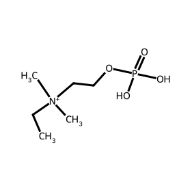 CC[N+](C)(C)CCOP(=O)(O)O